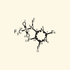 O=S(=O)(N(F)c1nc(F)nc(F)c1F)C(F)(F)F